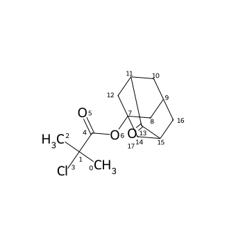 CC(C)(Cl)C(=O)OC12CC3CC(C1)C(=O)C(C3)C2